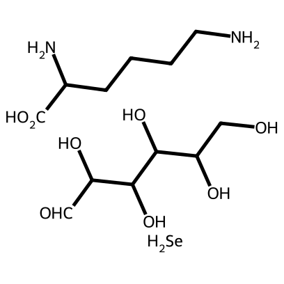 NCCCCC(N)C(=O)O.O=CC(O)C(O)C(O)C(O)CO.[SeH2]